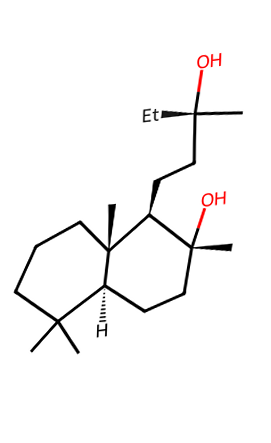 CC[C@](C)(O)CC[C@@H]1[C@@]2(C)CCCC(C)(C)[C@@H]2CC[C@@]1(C)O